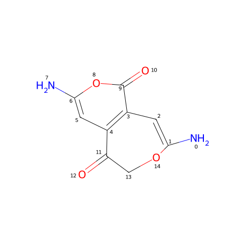 NC1=Cc2c(cc(N)oc2=O)C(=O)CO1